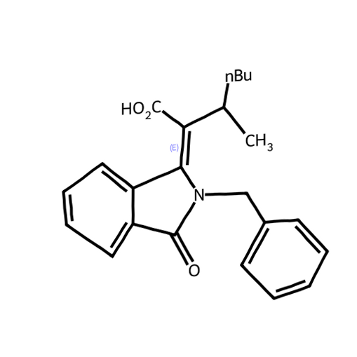 CCCCC(C)/C(C(=O)O)=C1/c2ccccc2C(=O)N1Cc1ccccc1